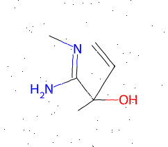 C=CC(C)(O)C(N)=NC